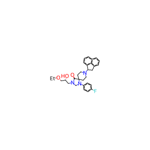 CCOC[C@H](O)CN1CN(c2ccc(F)cc2)C2(CCN(C3Cc4cccc5cccc3c45)CC2)C1=O